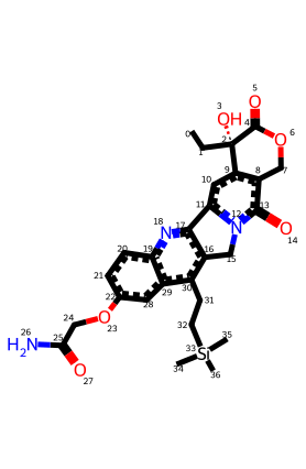 CC[C@@]1(O)C(=O)OCc2c1cc1n(c2=O)Cc2c-1nc1ccc(OCC(N)=O)cc1c2CC[Si](C)(C)C